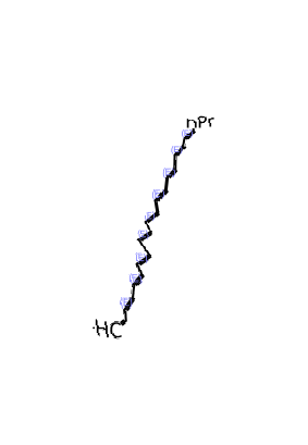 [CH]=C/C=C/C=C/C=C/C=C/C=C/C=C/C=C/C=C/C=C/CCC